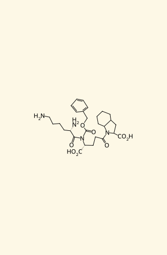 NCCCC[C@H](N)C(=O)N(C(=O)OCc1ccccc1)[C@H](CCC(=O)N1C(C(=O)O)CC2CCCCC21)C(=O)O